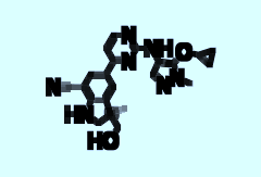 Cn1ncc(Nc2nccc(-c3cc(C#N)c4c(c3)[C@@](C)(CO)CN4)n2)c1OC1CC1